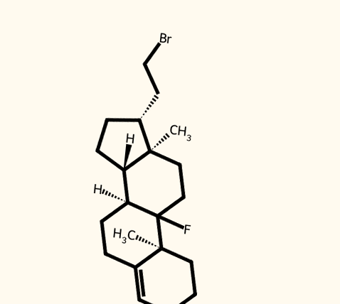 C[C@]12CCC3(F)[C@@H](CCC4=CCCC[C@@]43C)[C@@H]1CC[C@@H]2CCBr